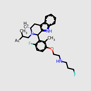 CC(=O)C(C)CN1C(c2c(F)ccc(OCCNCCCF)c2C)c2[nH]c3ccccc3c2C[C@H]1C